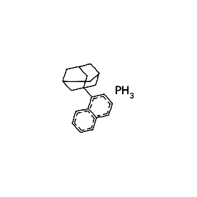 P.c1ccc2c(C34CC5CC(CC(C5)C3)C4)cccc2c1